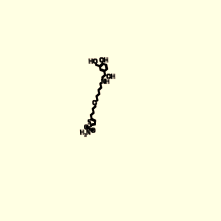 NS(=O)(=O)c1ccc(CCCCOCCCCCCNC[C@@H](O)c2ccc(O)c(CO)c2)s1